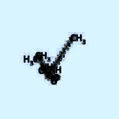 CCCCCCCCCCCCCCCCCCNC(=O)c1cc([N+](=O)[O-])ccc1COC(=O)NCCCCN(C)C